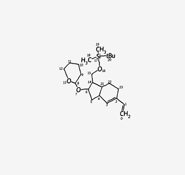 C=CC1=CC2CC(OC3CCCCO3)C(CO[Si](C)(C)C(C)(C)C)C2CC1